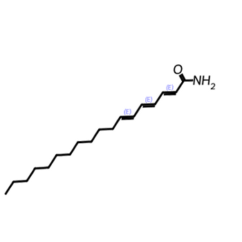 CCCCCCCCCCC/C=C/C=C/C=C/C(N)=O